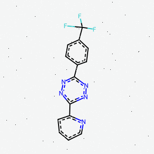 FC(F)(F)c1ccc(-c2nnc(-c3ccccn3)nn2)cc1